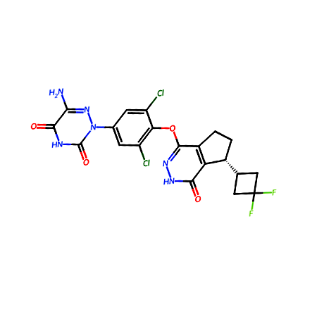 Nc1nn(-c2cc(Cl)c(Oc3n[nH]c(=O)c4c3CC[C@@H]4C3CC(F)(F)C3)c(Cl)c2)c(=O)[nH]c1=O